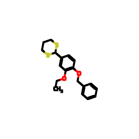 CCOc1cc(C2SCCCS2)ccc1OCc1ccccc1